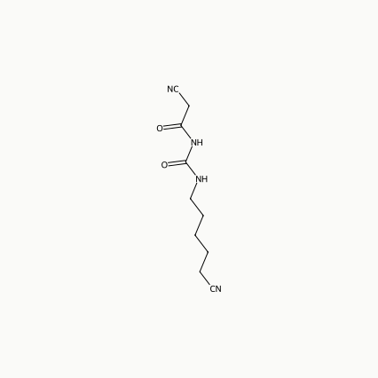 N#CCCCCCNC(=O)NC(=O)CC#N